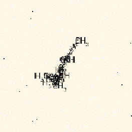 CCCCCCCCCCCCNC(=O)CCCOc1ccc(NC(NC(=O)CCCN(C)C)C(=O)NCC(C)C)cc1